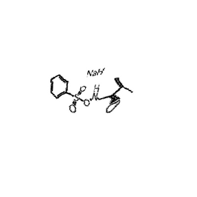 C=C(C)C(=O)NOS(=O)(=O)c1ccccc1.[NaH]